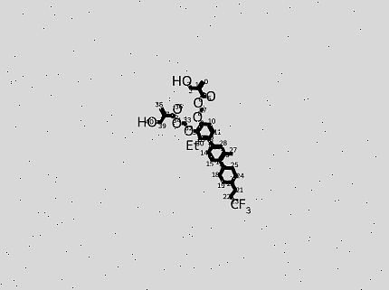 C=C(CO)C(=O)OCOc1ccc(-c2ccc(C3CCC(CCC(F)(F)F)CC3)c(C)c2)c(CC)c1OCOC(=O)C(=C)CO